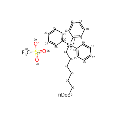 CCCCCCCCCCCCCCC[CH2][Sb+]([c]1ccccc1)([c]1ccccc1)[c]1ccccc1.O=S(=O)([O-])C(F)(F)F